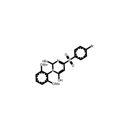 CCCCC1N=C(S(=O)(=O)c2ccc(Br)cc2)C=C(O)N1c1c(OC)cccc1OC